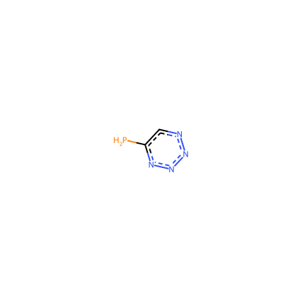 Pc1cnnnn1